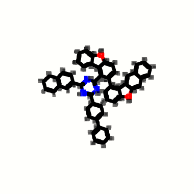 C1=Cc2cc(-c3nc(-c4ccc(-c5ccccc5)cc4)nc(-c4c(-c5cccc6oc7cc8ccccc8cc7c56)ccc5oc6ccccc6c45)n3)ccc2CC1